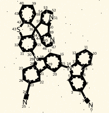 N#Cc1ccc2c(c1)c1ccccc1n2-c1ccc2c(c1)c1cc(C#N)ccc1n2-c1ccc2c(c1)C1(c3ccccc3S2)c2cccnc2-c2ncccc21